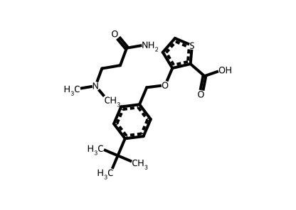 CC(C)(C)c1ccc(COc2ccsc2C(=O)O)cc1.CN(C)CCC(N)=O